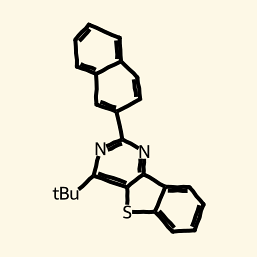 CC(C)(C)c1nc(-c2ccc3ccccc3c2)nc2c1sc1ccccc12